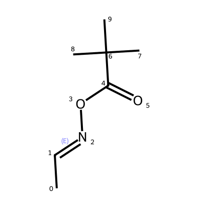 C/C=N/OC(=O)C(C)(C)C